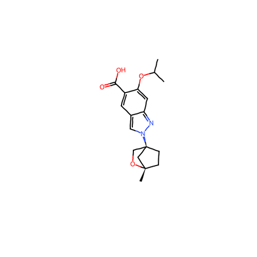 CC(C)Oc1cc2nn([C@@]34CC[C@@](C)(C3)OC4)cc2cc1C(=O)O